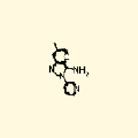 Cc1ccc2c(c1)=NCN(c1cccnc1)C=2N